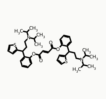 CC(C)N(CCC(c1cccs1)c1ccccc1OC(=O)/C=C/C(=O)Oc1ccccc1C(CCN(C(C)C)C(C)C)c1cccs1)C(C)C